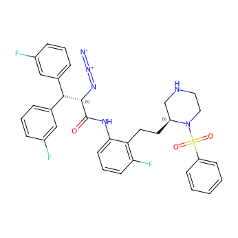 [N-]=[N+]=N[C@H](C(=O)Nc1cccc(F)c1CC[C@H]1CNCCN1S(=O)(=O)c1ccccc1)C(c1cccc(F)c1)c1cccc(F)c1